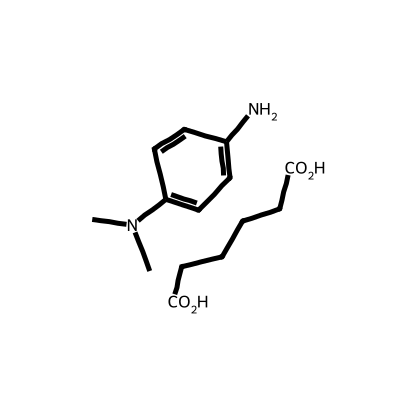 CN(C)c1ccc(N)cc1.O=C(O)CCCCC(=O)O